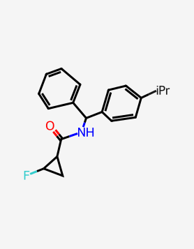 CC(C)c1ccc(C(NC(=O)C2CC2F)c2ccccc2)cc1